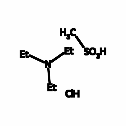 CCN(CC)CC.CS(=O)(=O)O.Cl